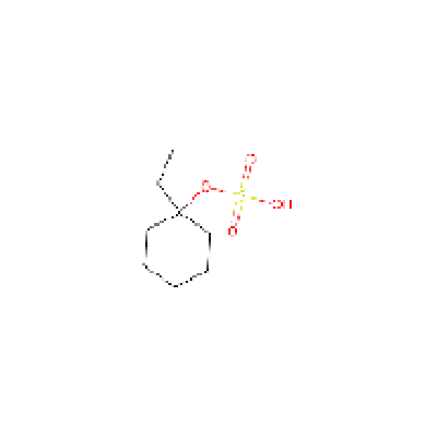 CCC1(OS(=O)(=O)O)CCCCC1